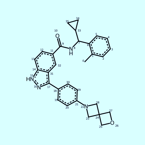 Cc1ccccc1C(NC(=O)c1ccc2[nH]nc(-c3ccc(N4CC5(COC5)C4)cc3)c2c1)C1CC1